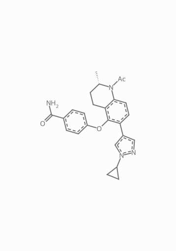 CC(=O)N1c2ccc(-c3cnn(C4CC4)c3)c(Oc3ccc(C(N)=O)cc3)c2CC[C@@H]1C